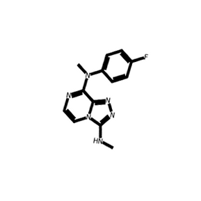 CNc1nnc2c(N(C)c3ccc(F)cc3)nccn12